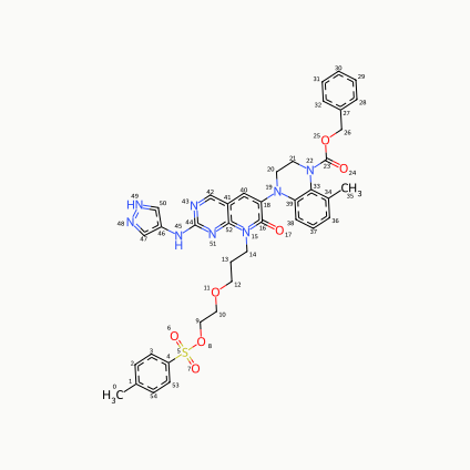 Cc1ccc(S(=O)(=O)OCCOCCCn2c(=O)c(N3CCN(C(=O)OCc4ccccc4)c4c(C)cccc43)cc3cnc(Nc4cn[nH]c4)nc32)cc1